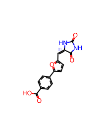 O=C1NC(=O)/C(=C\c2ccc(-c3ccc(C(=O)O)cc3)o2)N1